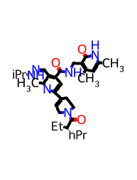 CCC[C@H](CC)C(=O)N1CC=C(c2cc(C(=O)NCc3c(C)cc(C)[nH]c3=O)c(/C=N\NC(C)C)c(C)n2)CC1